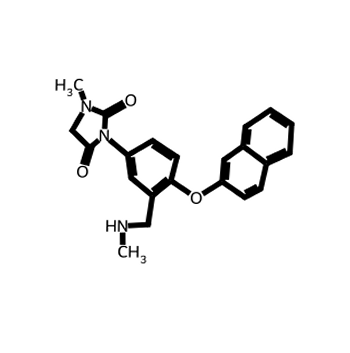 CNCc1cc(N2C(=O)CN(C)C2=O)ccc1Oc1ccc2ccccc2c1